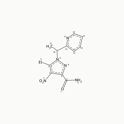 CCc1c([N+](=O)[O-])c(C(N)=O)nn1C(C)c1ccccn1